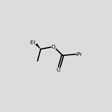 C[CH][C@H](C)OC(=O)C(C)C